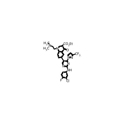 CCOC(=O)c1cn(CCN(C)C)c2ccc(-c3cnc(Nc4ccc(F)c(Cl)c4)nc3-n3ccc(C(F)(F)F)n3)cc2c1=O